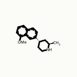 COc1cccc2ccc([C@H]3CCN[C@H](C)C3)cc12